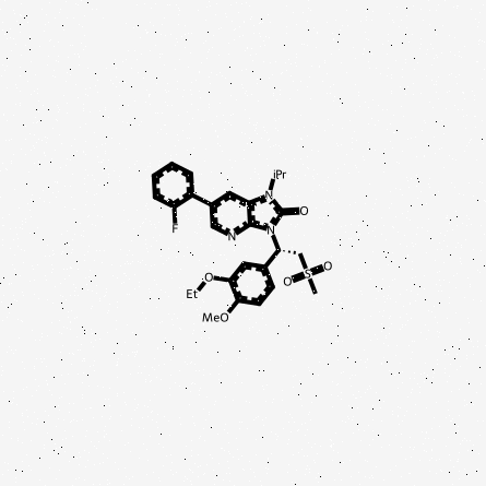 CCOc1cc([C@@H](CS(C)(=O)=O)n2c(=O)n(C(C)C)c3cc(-c4ccccc4F)cnc32)ccc1OC